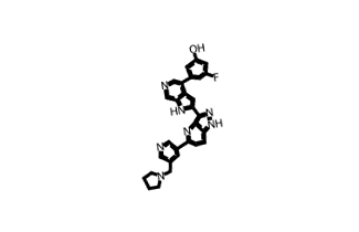 Oc1cc(F)cc(-c2cncc3[nH]c(-c4n[nH]c5ccc(-c6cncc(CN7CCCC7)c6)nc45)cc23)c1